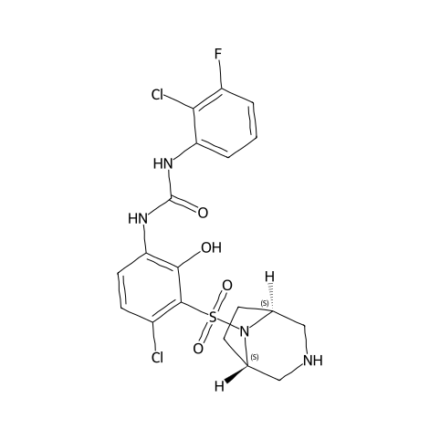 O=C(Nc1ccc(Cl)c(S(=O)(=O)N2[C@H]3CC[C@H]2CNC3)c1O)Nc1cccc(F)c1Cl